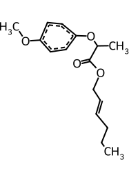 CCC/C=C/COC(=O)C(C)Oc1ccc(OC)cc1